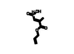 C=CCOC(=O)C(C)=C[PH](=O)O